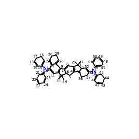 CC1(C)C2=C(CC3C(=C2)c2c(cc(N(C4=CCCC=C4)c4ccccc4)c4c2=CCCC=4)C3(C)C)C2CCC(N(C3=CC=CCC3)c3ccccc3)=CC21